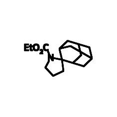 CCOC(=O)N1CCCC12C1CC3CC(C1)CC2C3